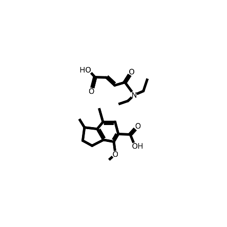 CCN(CC)C(=O)C=CC(=O)O.COc1c(C(=O)O)cc(C)c2c1CCC2C